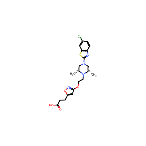 C[C@@H]1CN(c2nc3ccc(Cl)cc3s2)C[C@H](C)N1CCOc1cc(CCC(=O)O)on1